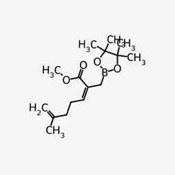 C=C(C)CC/C=C(/CB1OC(C)(C)C(C)(C)O1)C(=O)OC